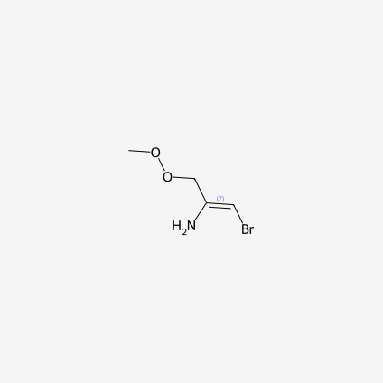 COOC/C(N)=C/Br